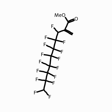 C=C(C(=O)OC)C(F)C(F)(F)C(F)(F)C(F)(F)C(F)(F)C(F)(F)C(F)(F)C(F)F